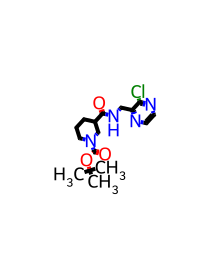 CC(C)(C)OC(=O)N1CCCC(C(=O)NCc2nccnc2Cl)C1